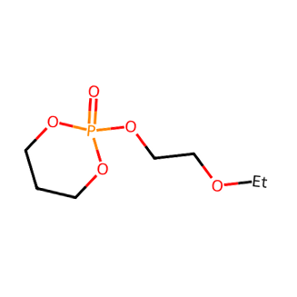 [CH2]COCCOP1(=O)OCCCO1